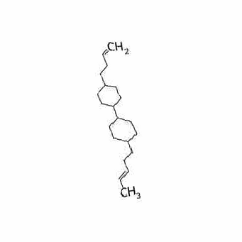 C=CCCC1CCC(C2CCC(CC/C=C/C)CC2)CC1